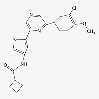 COc1ccc(-c2cncc(-c3cc(NC(=O)C4CCC4)cs3)n2)cc1Cl